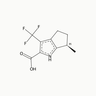 C[C@@H]1CCc2c1[nH]c(C(=O)O)c2C(F)(F)F